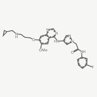 COc1cc2c(Nc3cnn(CC(=O)Nc4cccc(F)c4)c3)ncnc2cc1OCCCNCC1CC1